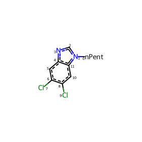 CCCCCn1cnc2cc(Cl)c(Cl)cc21